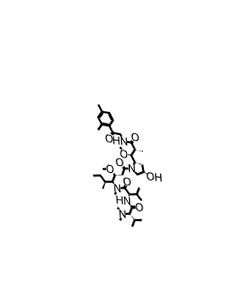 CC[C@H](C)[C@@H]([C@@H](CC(=O)N1C[C@@H](O)C[C@H]1[C@H](OC)[C@@H](C)C(=O)NCC(=O)c1ccc(C)cc1C)OC)N(C)C(=O)[C@@H](NC(=O)[C@H](C(C)C)N(C)C)C(C)C